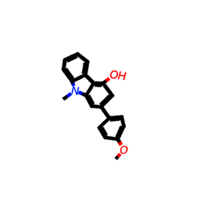 COc1ccc(-c2cc(O)c3c4ccccc4n(C)c3c2)cc1